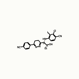 CC[C@@H](O)[C@@H](Nc1ccc(C#N)c(Cl)c1I)C1=NN=C(c2ccc(C#N)cc2)CC1